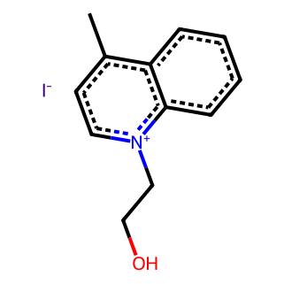 Cc1cc[n+](CCO)c2ccccc12.[I-]